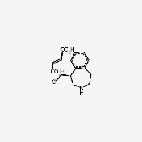 ClC[C@@H]1CNCCc2ccccc21.O=C(O)/C=C/C(=O)O